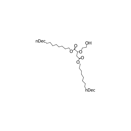 CCCCCCCCCCCCCCCCCCOC(=O)CC(OCCO)C(=O)OCCCCCCCCCCCCCCCCCC